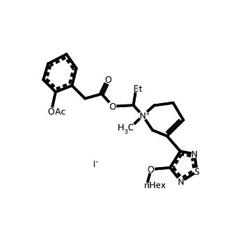 CCCCCCOc1nsnc1C1=CCC[N+](C)(C(CC)OC(=O)Cc2ccccc2OC(C)=O)C1.[I-]